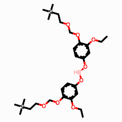 CCOc1cc(OBOc2ccc(OCOCC[Si](C)(C)C)c(OCC)c2)ccc1OCOCC[Si](C)(C)C